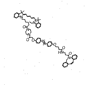 CC[N+]1=C(/C=C/C=C/C=C2\N(CCCCCC(=O)N3CCN(C(=O)COc4ccc(N=Nc5ccc(OCCCC(=O)NCCC(=O)N6Cc7ccccc7C#Cc7ccccc76)cc5)cc4)CC3)c3ccccc3C2(C)C)C(C)(C)c2ccccc21